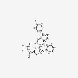 Cc1cc2c(cnn2-c2ccc(F)cc2)cc1C12CN(C(=O)C3CCC3)CC1C2c1ccccc1